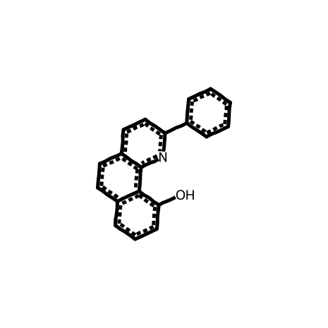 Oc1cccc2ccc3ccc(-c4ccccc4)nc3c12